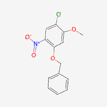 COc1cc(OCc2ccccc2)c([N+](=O)[O-])cc1Cl